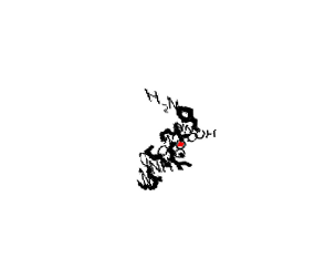 CCC(C)C(C(CC(=O)N1CCCC1C(OC)C(C)C(=O)NC(CO)Cc1ccc(N)cc1)OC)N(C)C(=O)C(NC(=O)C1C(C)CC(CC)N1C)C(C)C